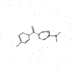 CC1=CCC(C(=O)c2ccc(N(C)C)cc2)C=C1